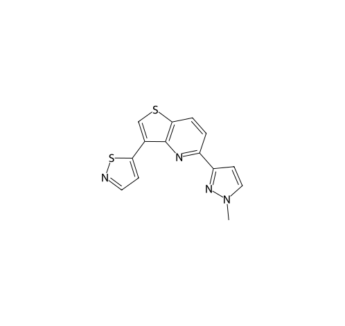 Cn1ccc(-c2ccc3scc(-c4ccns4)c3n2)n1